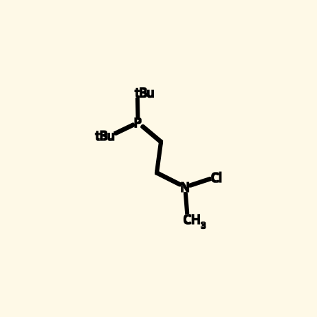 CN(Cl)CCP(C(C)(C)C)C(C)(C)C